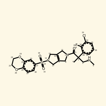 CNCC(C)(C(=O)N1CC2=C(C1)CN(S(=O)(=O)c1ccc3c(c1)OCCO3)C2)c1cccc(Cl)c1F